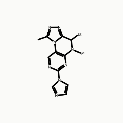 CCC1c2nnc(C)n2-c2cnc(-n3ccnc3)nc2N1C(C)C